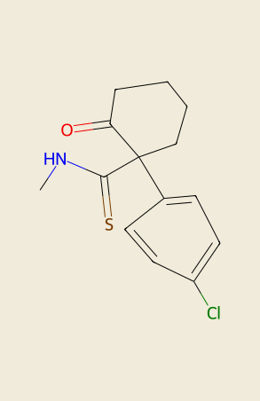 CNC(=S)C1(c2ccc(Cl)cc2)CCCCC1=O